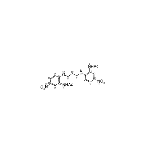 CC(=O)Nc1cc([N+](=O)[O-])ccc1OCCCOc1ccc([N+](=O)[O-])cc1NC(C)=O